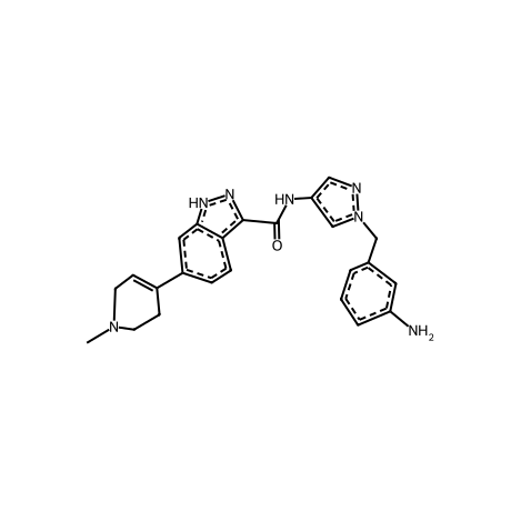 CN1CC=C(c2ccc3c(C(=O)Nc4cnn(Cc5cccc(N)c5)c4)n[nH]c3c2)CC1